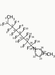 CC(F)C(F)(F)C(F)(F)C(F)(F)C(F)(F)C(F)(F)C(F)(F)n1cc[n+](C)c1